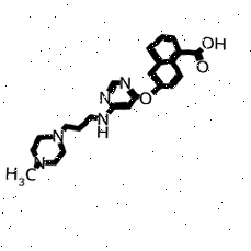 CN1CCN(CCCNc2cc(Oc3ccc4c(C(=O)O)cccc4c3)ncn2)CC1